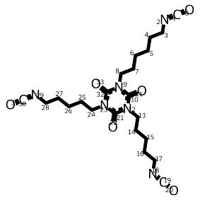 O=C=NCCCCCCn1c(=O)n(CCCCCN=C=O)c(=O)n(CCCCCN=C=O)c1=O